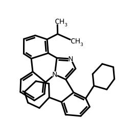 CC(C)c1cccc2c3ccccc3n3c(-c4c(C5CCCCC5)cccc4C4CCCCC4)cnc3c12